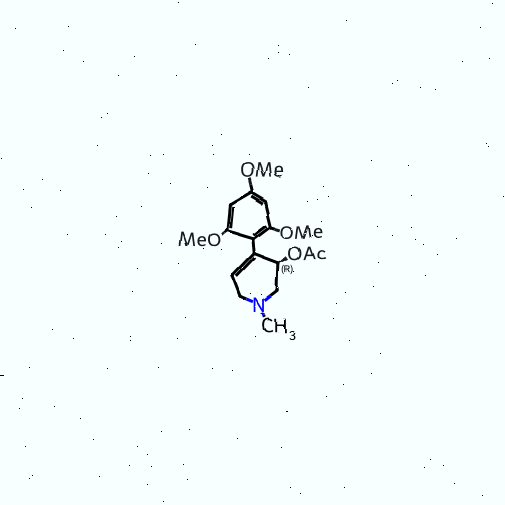 COc1cc(OC)c(C2=CCN(C)C[C@@H]2OC(C)=O)c(OC)c1